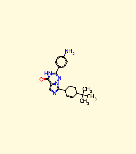 CC(C)(C)C1C=CC(c2ncc3c(=O)[nH]c(-c4ccc(N)cc4)nn23)CC1